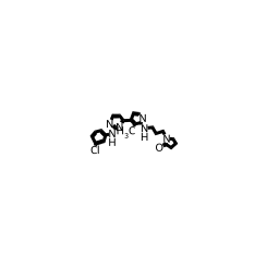 Cc1c(-c2ccnc(Nc3cccc(Cl)c3)n2)ccnc1NCCCN1CCCC1=O